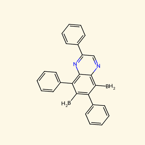 Bc1c(-c2ccccc2)c(B)c2ncc(-c3ccccc3)nc2c1-c1ccccc1